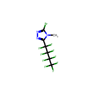 Cn1c(Br)nnc1C(F)(F)C(F)(F)C(F)(F)C(F)(F)F